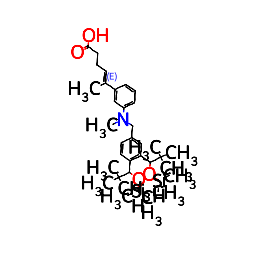 C/C(=C\CCC(=O)O)c1cccc(N(C)Cc2ccc(C(O[SiH](C)C)C(C)(C)C)c(C(O[SiH](C)C)C(C)(C)C)c2)c1